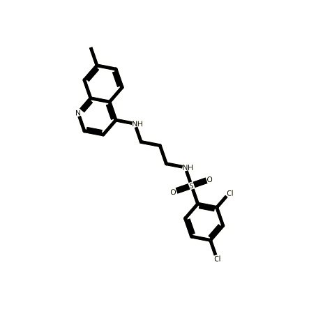 Cc1ccc2c(NCCCNS(=O)(=O)c3ccc(Cl)cc3Cl)ccnc2c1